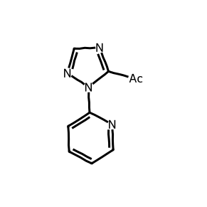 CC(=O)c1ncnn1-c1ccccn1